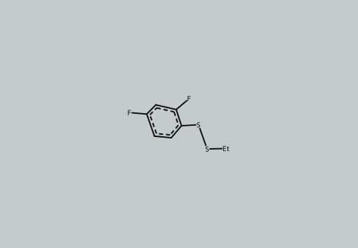 CCSSc1ccc(F)cc1F